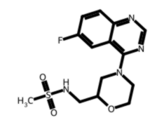 CS(=O)(=O)NCC1CN(c2ncnc3ccc(F)cc23)CCO1